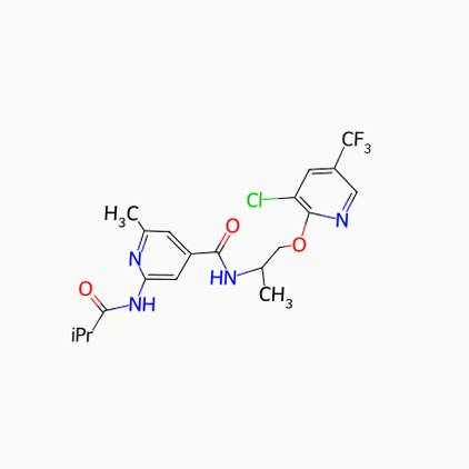 Cc1cc(C(=O)NC(C)COc2ncc(C(F)(F)F)cc2Cl)cc(NC(=O)C(C)C)n1